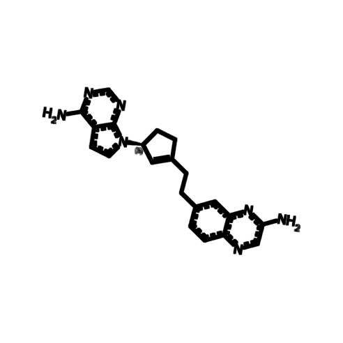 Nc1cnc2ccc(CCC3=C[C@@H](n4ccc5c(N)ncnc54)CC3)cc2n1